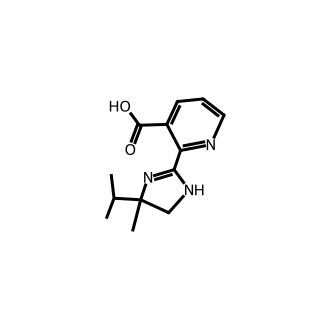 CC(C)C1(C)CNC(c2ncccc2C(=O)O)=N1